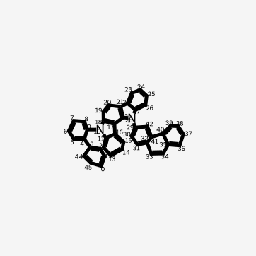 c1ccc(-c2ccccc2-n2c3ccccc3c3c2ccc2c4ccccc4n(-c4ccc5ccc6ccccc6c5c4)c23)cc1